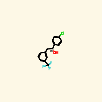 O[C@H](Cc1cccc(C(F)(F)F)c1)c1ccc(Cl)cc1